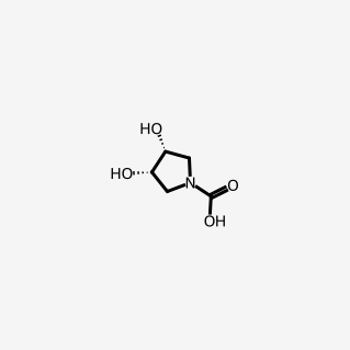 O=C(O)N1C[C@@H](O)[C@@H](O)C1